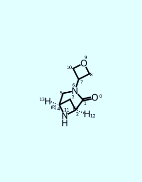 O=C1[C@@H]2C[C@H](CN1C1COC1)N2